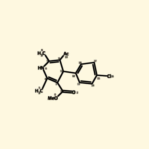 COC(=O)C1=C(C)NC(C)=C(C(C)=O)C1c1ccc(Cl)cc1